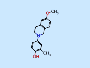 COc1ccc2c(c1)CCN(c1ccc(O)c(C)c1)C2